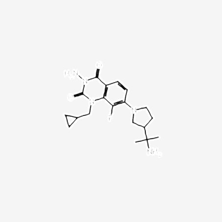 CC(C)(N)C1CCN(c2ccc3c(=O)n(N)c(=O)n(CC4CC4)c3c2F)C1